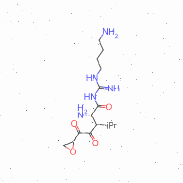 CC(C)C(C(=O)C(=O)C1CO1)[C@H](N)C(=O)NC(=N)NCCCCN